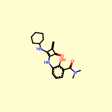 C=C1C(=O)C(Nc2cccc(C(=O)N(C)C)c2O)=C1NC1CCCCC1